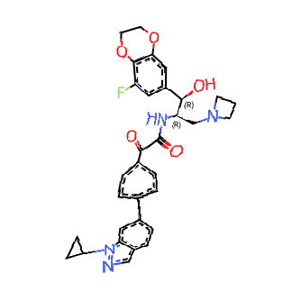 O=C(N[C@H](CN1CCC1)[C@H](O)c1cc(F)c2c(c1)OCCO2)C(=O)c1ccc(-c2ccc3cnn(C4CC4)c3c2)cc1